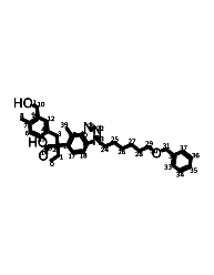 CCC(Cc1ccc(C)c(CO)c1)(C(=O)O)c1ccc2c(nnn2CCCCCCOCc2ccccc2)c1C